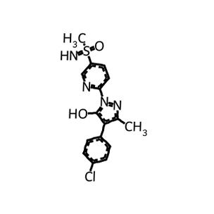 Cc1nn(-c2ccc(S(C)(=N)=O)cn2)c(O)c1-c1ccc(Cl)cc1